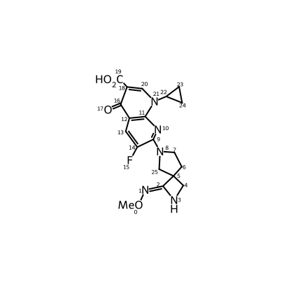 CON=C1NCC12CCN(c1nc3c(cc1F)c(=O)c(C(=O)O)cn3C1CC1)C2